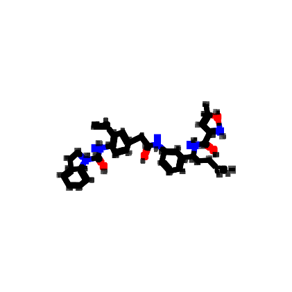 COc1cc(CC(=O)Nc2cccc(C(CCC(=O)O)NC(=O)c3cc(C)on3)c2)ccc1NC(=O)N1CCc2ccccc21